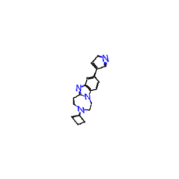 C1=NCC=C1c1ccc2c(c1)nc1n2CCN(C2CCC2)CC1